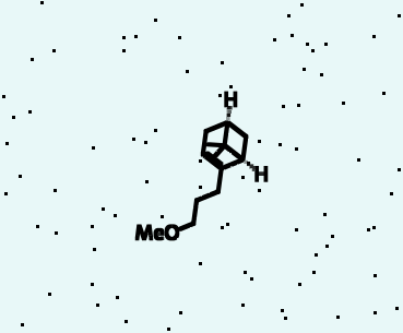 COCCCC1=CC[C@H]2C[C@@H]1C2(C)C